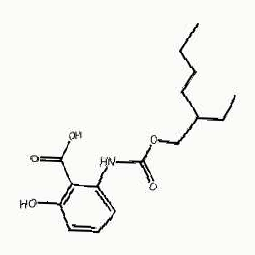 CCCCC(CC)COC(=O)Nc1cccc(O)c1C(=O)O